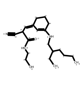 CCCCC(CC)CNC1=C/C(=C\C(C#N)C(=O)NCCO)CCC1